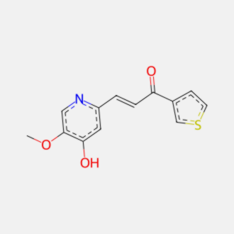 COc1cnc(C=CC(=O)c2ccsc2)cc1O